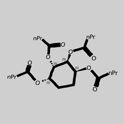 CCCC(=O)O[C@@H]1[C@@H](OC(=O)CCC)[C@@H](OC(=O)CCC)CC[C@@H]1OC(=O)CCC